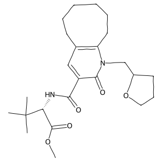 COC(=O)[C@@H](NC(=O)c1cc2c(n(CC3CCCO3)c1=O)CCCCCC2)C(C)(C)C